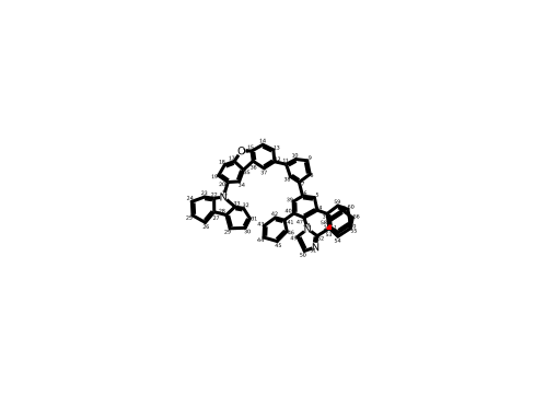 c1ccc(-c2cc(-c3cccc(-c4ccc5oc6ccc(-n7c8ccccc8c8ccccc87)cc6c5c4)c3)cc(-c3ccccc3)c2-n2ccnc2-c2ccccc2)cc1